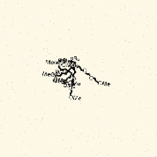 CCCCC(CCCC)(CCCC)CN(CCOCCOCCOC)C(CCOCCOCCOC)CC(CCC[Si](OC)(OC)OC)(CCC[Si](OC)(OC)OC)CCC[Si](OC)(OC)OC